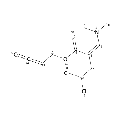 CN(C)C=C(CC(Cl)Cl)C(=O)OCC=C=O